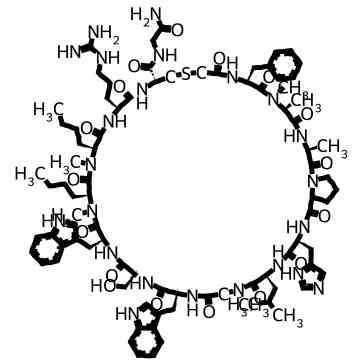 CCCC[C@H]1C(=O)N(C)[C@@H](CCCC)C(=O)N[C@@H](CCCNC(=N)N)C(=O)N[C@H](C(=O)NCC(N)=O)CSCC(=O)N[C@@H](Cc2ccccc2)C(=O)N(C)[C@@H](C)C(=O)N[C@@H](C)C(=O)N2CCCC2C(=O)N[C@@H](Cc2cnc[nH]2)C(=O)N[C@@H](CC(C)C)C(=O)N(C)CC(=O)N[C@@H](Cc2c[nH]c3ccccc23)C(=O)N[C@@H](CO)C(=O)N[C@@H](Cc2c[nH]c3ccccc23)C(=O)N1C